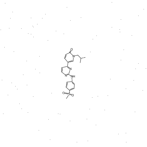 CC(C)Cn1cc(-c2ccnc(Nc3ccc(S(C)(=O)=O)cc3)n2)ccc1=O